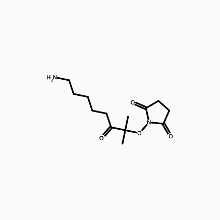 CC(C)(ON1C(=O)CCC1=O)C(=O)CCCCCN